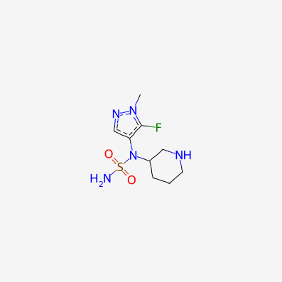 Cn1ncc(N(C2CCCNC2)S(N)(=O)=O)c1F